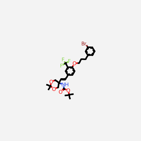 CC(C)(C)OC(=O)NC1(C=Cc2ccc(OCCCc3cccc(Br)c3)c(C(F)(F)F)c2)COC(C)(C)OC1